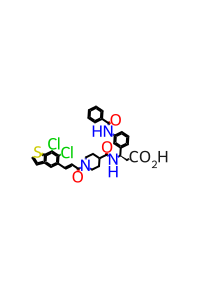 O=C(O)C[C@@H](NC(=O)C1CCN(C(=O)/C=C/c2cc3ccsc3c(Cl)c2Cl)CC1)c1cccc(NC(=O)c2ccccc2)c1